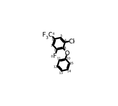 Fc1cc(C(F)(F)F)cc(Cl)c1Oc1c[c]ccc1